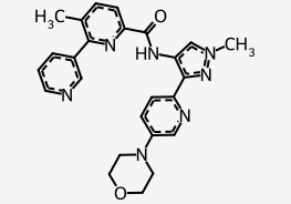 Cc1ccc(C(=O)Nc2cn(C)nc2-c2ccc(N3CCOCC3)cn2)nc1-c1cccnc1